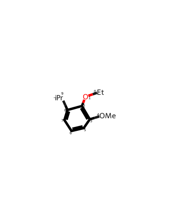 CCOc1c(OC)cccc1[C](C)C